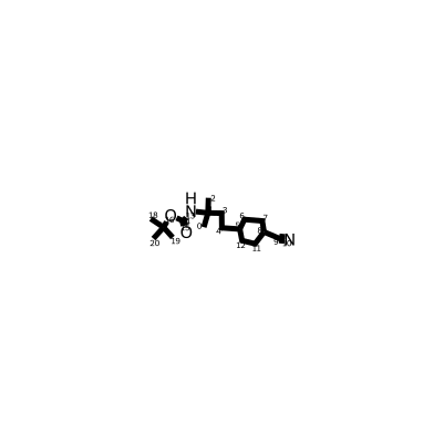 CC(C)(CCC1CCC(C#N)CC1)NC(=O)OC(C)(C)C